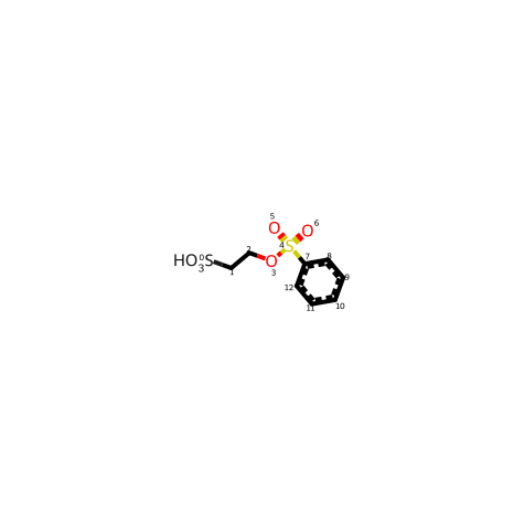 O=S(=O)(O)CCOS(=O)(=O)c1ccccc1